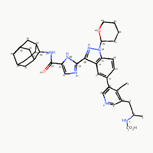 Cc1c(CC(C)NC(=O)O)cncc1-c1ccc2c(c1)c(-c1ncc(C(=O)NC3C4CC5CC(C4)CC3C5)[nH]1)nn2C1CCCCO1